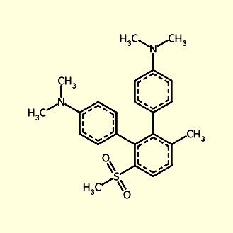 Cc1ccc(S(C)(=O)=O)c(-c2ccc(N(C)C)cc2)c1-c1ccc(N(C)C)cc1